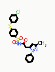 Cc1cc(CC(=O)NS(=O)(=O)c2ccc(Sc3ccc(Cl)cc3)cc2)n(-c2ccccc2)n1